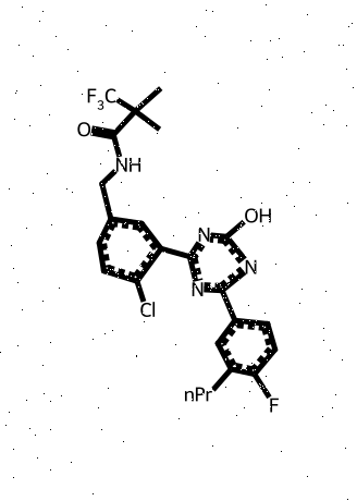 CCCc1cc(-c2nc(O)nc(-c3cc(CNC(=O)C(C)(C)C(F)(F)F)ccc3Cl)n2)ccc1F